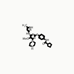 COc1c(Nc2cc(C)[nH]n2)nc(Sc2ccc(NC(=O)C3CCCC3)cc2)nc1N1CCNCC1